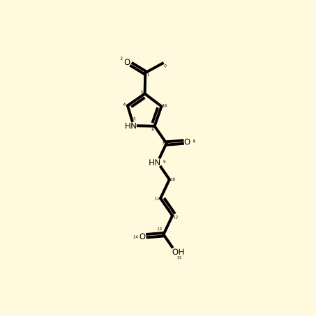 CC(=O)c1c[nH]c(C(=O)NC/C=C/C(=O)O)c1